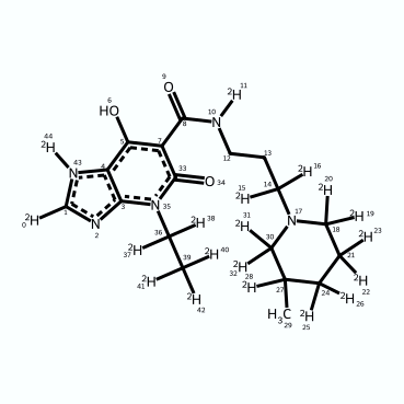 [2H]c1nc2c(c(O)c(C(=O)N([2H])CCC([2H])([2H])N3C([2H])([2H])C([2H])([2H])C([2H])([2H])C([2H])(C)C3([2H])[2H])c(=O)n2C([2H])([2H])C([2H])([2H])[2H])n1[2H]